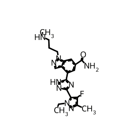 CCn1nc(C)c(F)c1-c1n[nH]c(-c2cc(C(N)=O)cc3c2cnn3CCCNC)n1